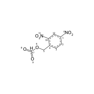 O=[N+]([O-])c1ccc(CO[SH](=O)=O)c([N+](=O)[O-])c1